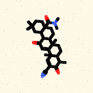 CC1C(=O)C(C#N)=CC2(C)C3=CC(=O)C4C(CCC5(C(=O)N(C)C)CCC(C)(C)CC45)C3(C)CCC12